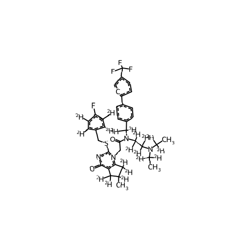 [2H]c1c([2H])c(CSc2nc(=O)c3c(n2CC(=O)N(C([2H])([2H])c2ccc(-c4ccc(C(F)(F)F)cc4)cc2)C([2H])([2H])C([2H])([2H])N(C([2H])([2H])C)C([2H])([2H])C)C([2H])([2H])C([2H])(C)C3([2H])[2H])c([2H])c([2H])c1F